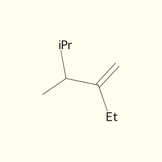 [CH2]CC(=C)C(C)C(C)C